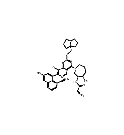 C#Cc1cccc2cc(O)cc(-c3ncc4c(N5CCC[C@@H](C#N)[C@@H](NC(=O)C=C)C5)nc(OCC56CCCN5CCC6)nc4c3F)c12